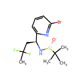 CC(F)(F)C[C@H](N[S@+]([O-])C(C)(C)C)c1cccc(Br)n1